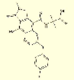 CN1Cc2c(c(O)c3ncc(Cc4ccc(F)cc4)cc3c2C(=O)NC(C)(C)C(=O)O)C1=O